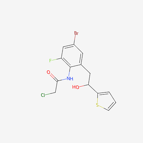 O=C(CCl)Nc1c(F)cc(Br)cc1CC(O)c1cccs1